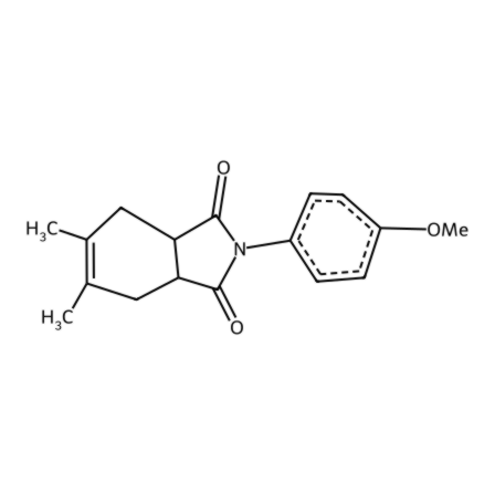 COc1ccc(N2C(=O)C3CC(C)=C(C)CC3C2=O)cc1